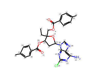 CCC1(COC(=O)c2ccc(C)cc2)OC(n2cnc3c(N)nc(Cl)nc32)CC1OC(=O)c1ccc(C)cc1